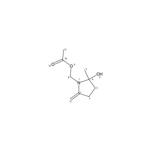 C=C1CCC(C)(O)N1COC(C)=O